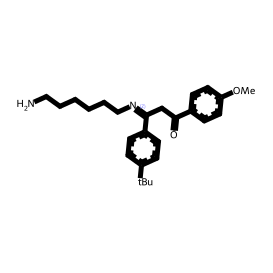 COc1ccc(C(=O)C/C(=N/CCCCCCN)c2ccc(C(C)(C)C)cc2)cc1